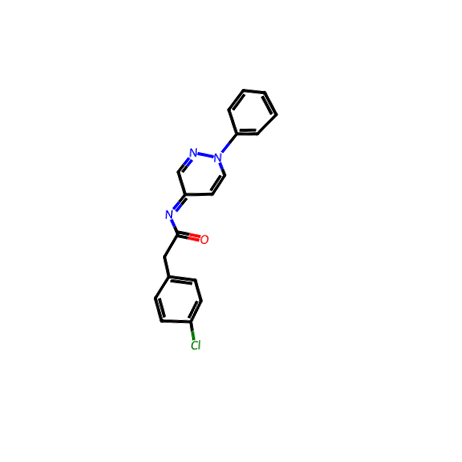 O=C(Cc1ccc(Cl)cc1)N=c1ccn(-c2ccccc2)nc1